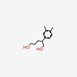 Cc1ccc(C(CO)CCCO)cc1C